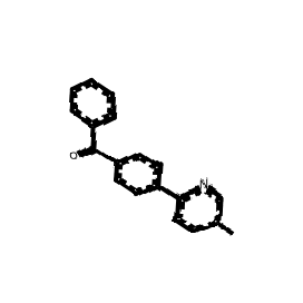 Cc1ccc(-c2ccc(C(=O)c3ccccc3)cc2)nc1